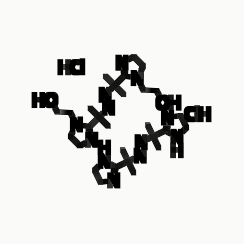 CC(C)(N=NC(C)(C)C1=NCCN1)C1=NCCN1.CC(C)(N=NC(C)(C)C1=NCCN1CCO)C1=NCCN1CCO.Cl.Cl